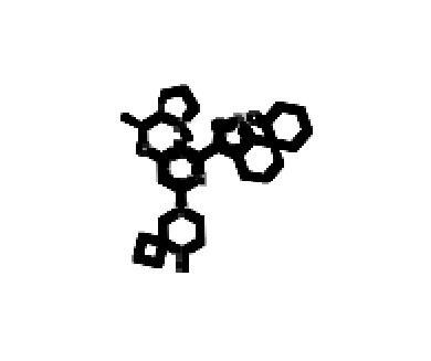 C[C@H](Oc1cc(N2CCNC3(CCC3)C2)nc(-c2onc3c2CCC[C@@]32CCCCC2=O)n1)[C@@H]1CCCN1C